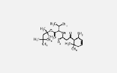 CC(CC(=O)C1C(C)C=CCC1(C)C)NC(C(=O)OC(C)(C)CC(C)(C)C)C(C)C